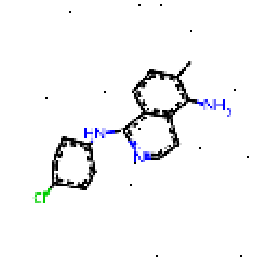 Cc1ccc2c(Nc3ccc(Cl)cc3)nccc2c1N